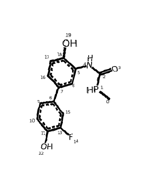 CPC(=O)Nc1cc(-c2ccc(O)c(F)c2)ccc1O